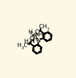 CC(C)c1ccccc1N(c1ccccc1C(C)C)P(N)(N)=S